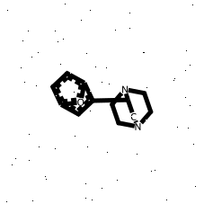 c1cc2oc1cc2C1CN2CCN1CC2